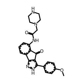 COc1ccc(-c2[nH]nc3c2C(=O)c2c(NC(=O)CN4CCNCC4)cccc2-3)cc1